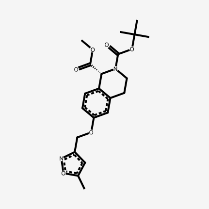 COC(=O)[C@H]1c2ccc(OCc3cc(C)on3)cc2CCN1C(=O)OC(C)(C)C